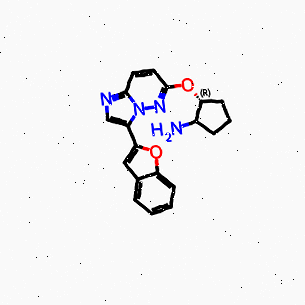 NC1CCC[C@H]1Oc1ccc2ncc(-c3cc4ccccc4o3)n2n1